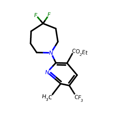 CCOC(=O)c1cc(C(F)(F)F)c(C)nc1N1CCCC(F)(F)CC1